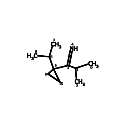 CC(C)C(=N)C1(C(C)C)CC1